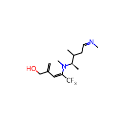 C=C(/C=C(\N(C)[C@H](C)C(C)C/C=N\C)C(F)(F)F)CO